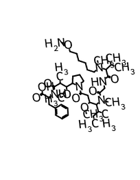 CCC(C)C(C(CC(=O)N1CCCC1C(OC)C(C)C(=O)NC(Cc1ccccc1)C(=O)O)OC)N(C)C(=O)CNC(=O)C(C(C)C)N(C)CCCCCCON